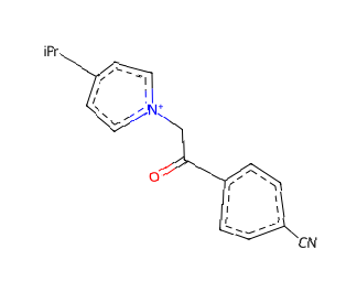 CC(C)c1cc[n+](CC(=O)c2ccc(C#N)cc2)cc1